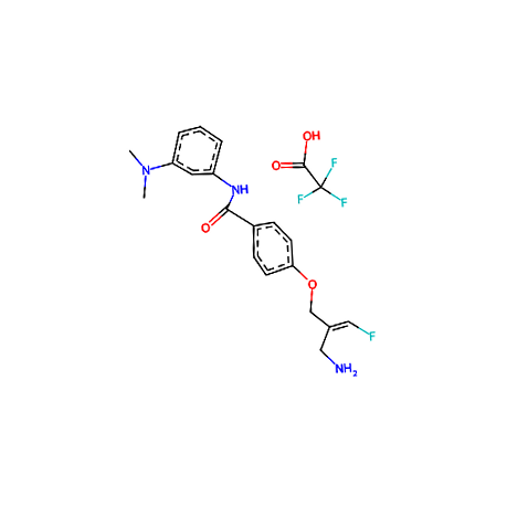 CN(C)c1cccc(NC(=O)c2ccc(OCC(=CF)CN)cc2)c1.O=C(O)C(F)(F)F